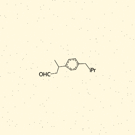 CC(C)Cc1ccc(C(C)CC=O)cc1